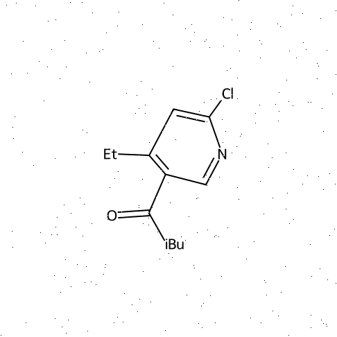 CCc1cc(Cl)ncc1C(=O)C(C)CC